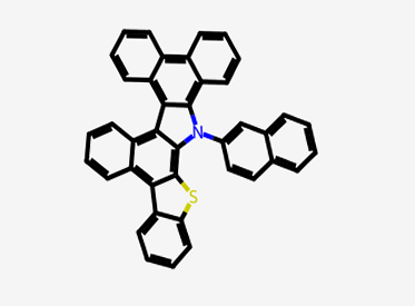 c1ccc2cc(-n3c4c5ccccc5c5ccccc5c4c4c5ccccc5c5c6ccccc6sc5c43)ccc2c1